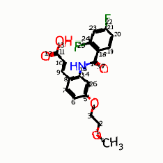 COCCOc1ccc(/C=C/C(=O)O)c(NC(=O)c2ccc(F)cc2F)c1